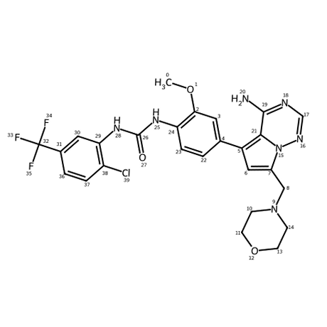 COc1cc(-c2cc(CN3CCOCC3)n3ncnc(N)c23)ccc1NC(=O)Nc1cc(C(F)(F)F)ccc1Cl